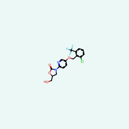 O=C1OC(CO)CN1c1ccc(OCc2c(Cl)cccc2C(F)(F)F)cn1